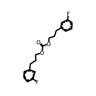 O=C(OCCCc1cccc(F)c1)OCCCc1cccc(F)c1